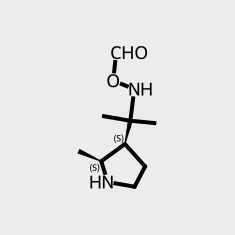 C[C@@H]1NCC[C@@H]1C(C)(C)NOC=O